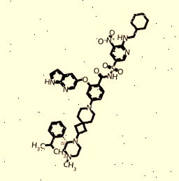 CC(C)c1ccccc1[C@H]1CN(C)CCN1C1CC2(CCN(c3ccc(C(=O)NS(=O)(=O)c4cnc(NCC5CCCCC5)c([N+](=O)[O-])c4)c(Oc4cnc5[nH]ccc5c4)c3)CC2)C1